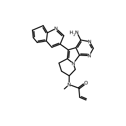 C=CC(=O)N(C)C1CCc2c(-c3cnc4ccccc4c3)c3c(N)ncnc3n2C1